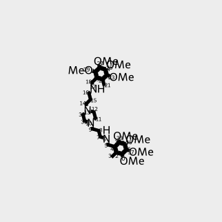 COc1c(C)c(CNCCCN2CCN(CCCNCc3c(C)c(OC)c(OC)c(OC)c3OC)CC2)c(OC)c(OC)c1OC